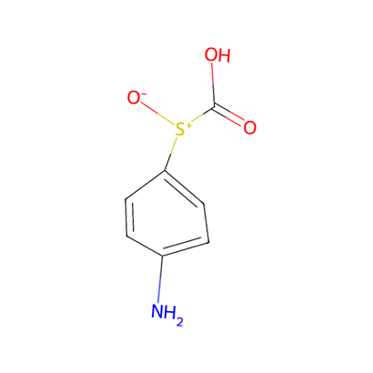 Nc1ccc([S+]([O-])C(=O)O)cc1